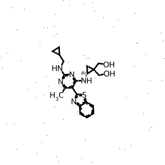 Cc1nc(NCC2CC2)nc(N[C@@H]2CC2(CO)CO)c1-c1nc2ccccc2s1